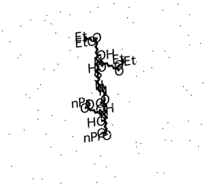 CCCOC(=O)CCCC(O)CN(CCCC(=O)OCCN1CCN(CCSSCCCN(CC(O)CCCCC(=O)OCC(CC)CC)CC(O)CCCCC(=O)OCC(CC)CC)CC1)CC(O)CCCC(=O)OCCC